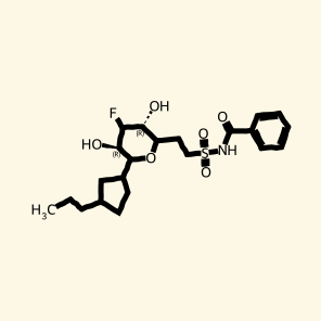 CCCC1CCC(C2OC(CCS(=O)(=O)NC(=O)c3ccccc3)[C@@H](O)C(F)[C@@H]2O)C1